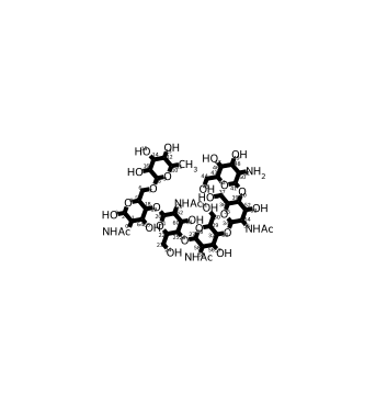 CC(=O)NC1C(O)OC(COC2OC(C)C(O)C(O)C2O)C(OC2OC(CO)C(OC3OC(CO)C(OC4OC(CO)C(OC5OC(CO)C(O)C(O)C5N)C(O)C4NC(C)=O)C(O)C3NC(C)=O)C(O)C2NC(C)=O)C1O